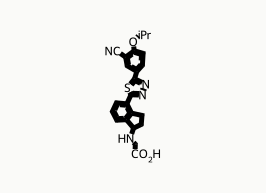 CC(C)Oc1ccc(-c2nnc(-c3cccc4c3CCC4NCC(=O)O)s2)cc1C#N